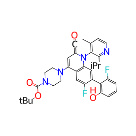 Cc1ccnc(C(C)C)c1N1C(=C=O)C=C(N2CCN(C(=O)OC(C)(C)C)CC2)c2cc(F)c(-c3c(O)cccc3F)cc21